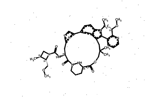 CCn1c(-c2cccnc2[C@H](C)OC)c2c3cc(ccc31)-c1csc(n1)C[C@H](NC(=O)N1C[C@H](C)[C@H]1COC)C(=O)N1CCC[C@@](C)(N1)C(=O)OCC(C)(C)C2